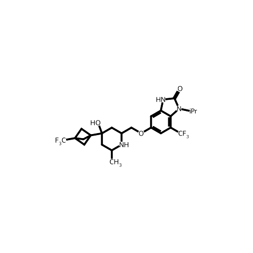 CC1CC(O)(C23CC(C(F)(F)F)(C2)C3)CC(COc2cc(C(F)(F)F)c3c(c2)[nH]c(=O)n3C(C)C)N1